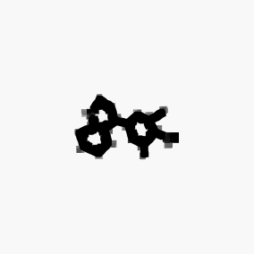 Cc1cc(-c2ccnc3ccccc23)cc(C)c1O